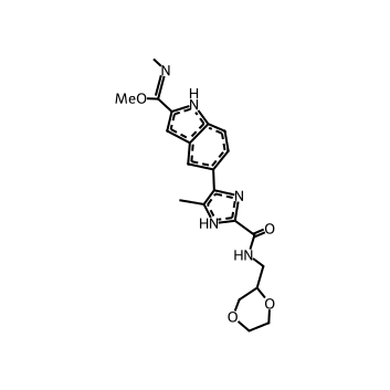 C/N=C(\OC)c1cc2cc(-c3nc(C(=O)NCC4COCCO4)[nH]c3C)ccc2[nH]1